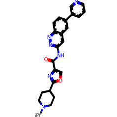 CC(C)N1CCC(c2nc(C(=O)Nc3cc4cc(-c5cccnc5)ccc4nn3)co2)CC1